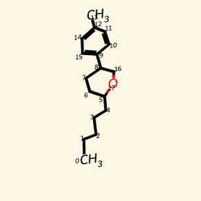 CCCCCC1CCC(c2ccc(C)cc2)CO1